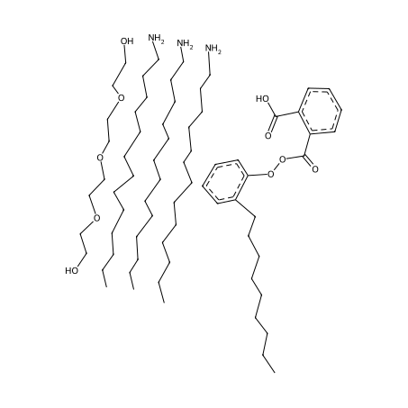 CCCCCCCCCCCCCN.CCCCCCCCCCCCCN.CCCCCCCCCCCCCN.CCCCCCCCCc1ccccc1OOC(=O)c1ccccc1C(=O)O.OCCOCCOCCOCCO